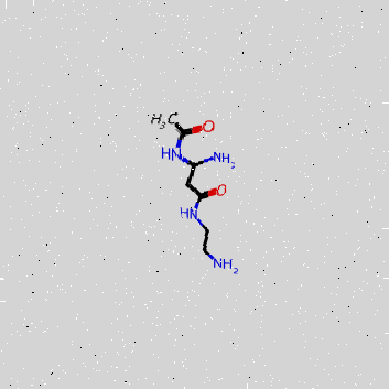 CC(=O)NC(N)CC(=O)NCCN